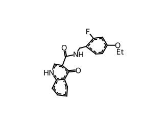 CCOc1ccc(CNC(=O)c2c[nH]c3ccccc3c2=O)c(F)c1